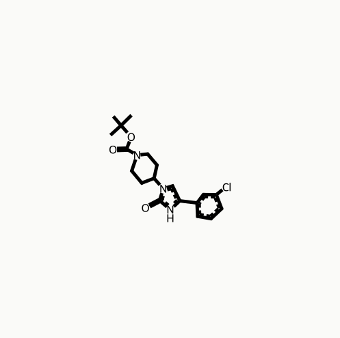 CC(C)(C)OC(=O)N1CCC(n2cc(-c3cccc(Cl)c3)[nH]c2=O)CC1